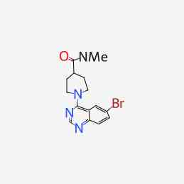 CNC(=O)C1CCN(c2ncnc3ccc(Br)cc23)CC1